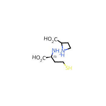 N[C@@H](CCS)C(=O)O.O=C(O)C1CCN1